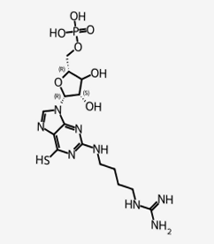 N=C(N)NCCCCNc1nc(S)c2ncn([C@@H]3O[C@H](COP(=O)(O)O)C(O)[C@@H]3O)c2n1